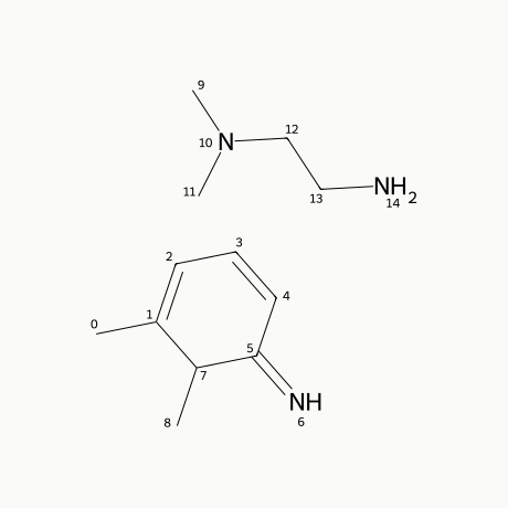 CC1=CC=CC(=N)C1C.CN(C)CCN